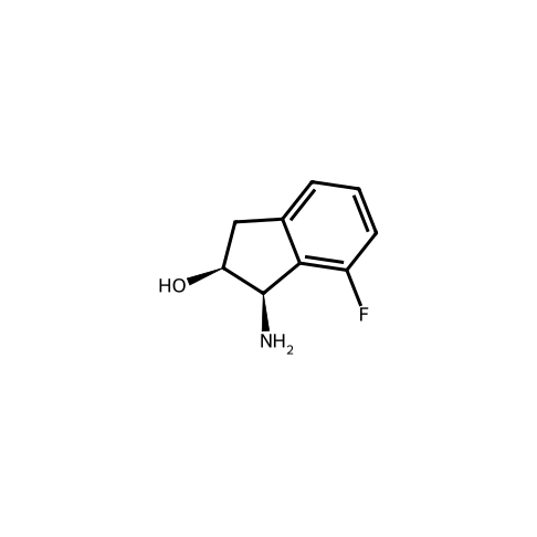 N[C@@H]1c2c(F)cccc2C[C@@H]1O